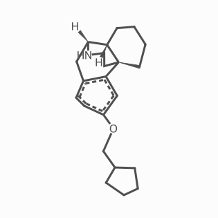 c1cc2c(cc1OCC1CCCC1)[C@@]13CCCC[C@H]1[C@@H](C2)NCC3